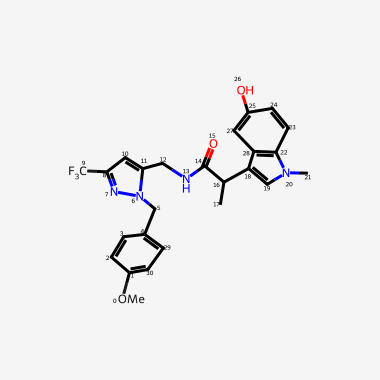 COc1ccc(Cn2nc(C(F)(F)F)cc2CNC(=O)C(C)c2cn(C)c3ccc(O)cc23)cc1